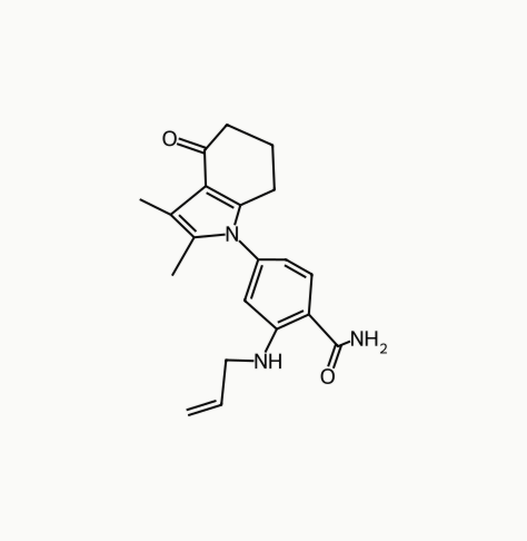 C=CCNc1cc(-n2c(C)c(C)c3c2CCCC3=O)ccc1C(N)=O